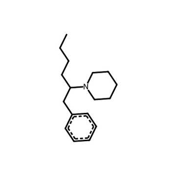 CCCCC(Cc1ccccc1)N1CCCCC1